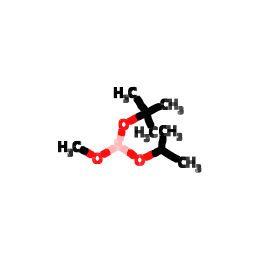 COB(OC(C)C)OC(C)(C)C